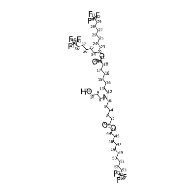 O=C(CCCCCN(CCCO)CCCCCCCC(=O)OC(CCCCCCCC(F)(F)F)CCCCCC(F)(F)F)OCCCCCCCCCCC(F)(F)F